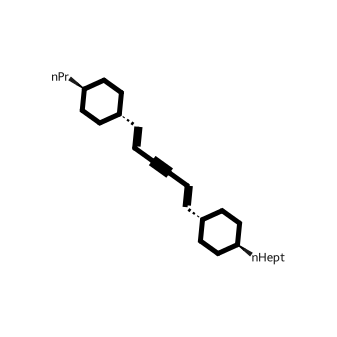 CCCCCCC[C@H]1CC[C@H](C=CC#CC=C[C@H]2CC[C@H](CCC)CC2)CC1